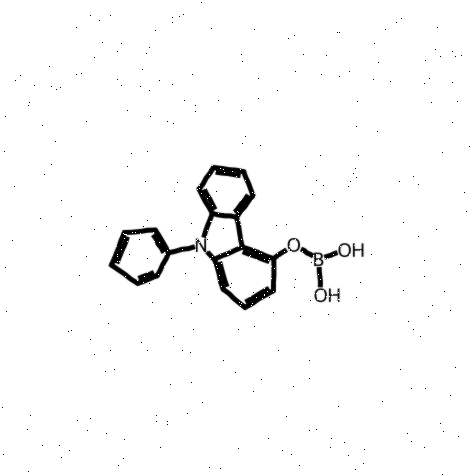 OB(O)Oc1cccc2c1c1ccccc1n2-c1ccccc1